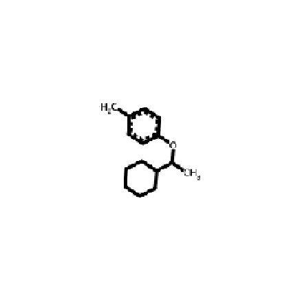 [CH2]c1ccc(OC(C)C2CCCCC2)cc1